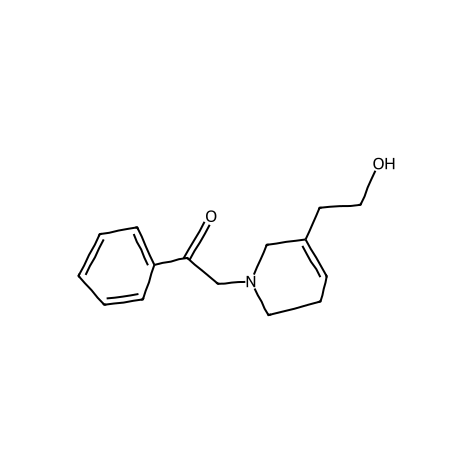 O=C(CN1CCC=C(CCO)C1)c1ccccc1